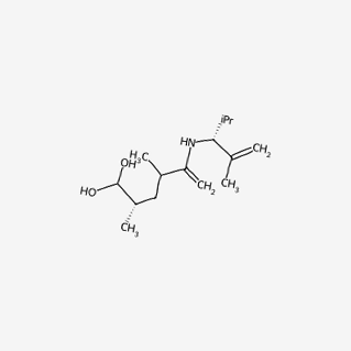 C=C(N[C@@H](C(=C)C)C(C)C)C(C)C[C@H](C)C(O)O